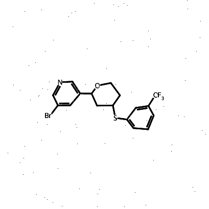 FC(F)(F)c1cccc(SC2CCOC(c3cncc(Br)c3)C2)c1